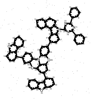 c1ccc(-c2nc(-c3ccccc3)nc(-n3c4ccc(-c5ccc6c(c5)Oc5cc(-c7cccc8oc9ccccc9c78)cc7c5N6c5ccc(-c6cccc8oc9ccccc9c68)cc5O7)cc4c4c5ccccc5ccc43)n2)cc1